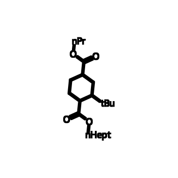 CCCCCCCOC(=O)C1CCC(C(=O)OCCC)CC1C(C)(C)C